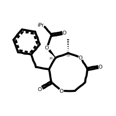 CC(C)C(=O)O[C@@H]1C(Cc2ccccc2)C(=O)OCCC(=O)O[C@H]1C